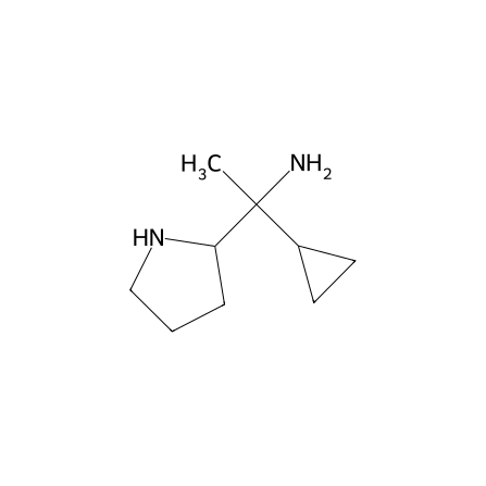 CC(N)(C1CC1)C1CCCN1